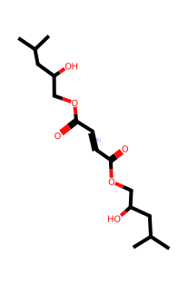 CC(C)CC(O)COC(=O)/C=C/C(=O)OCC(O)CC(C)C